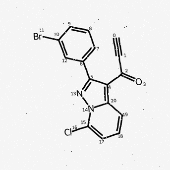 C#CC(=O)c1c(-c2cccc(Br)c2)nn2c(Cl)cccc12